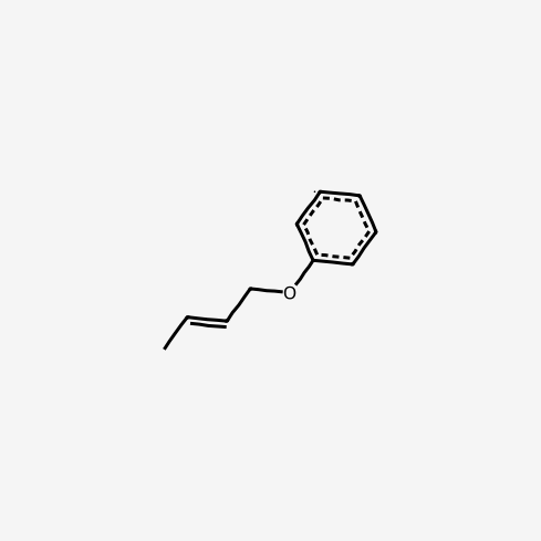 C/C=C/COc1c[c]ccc1